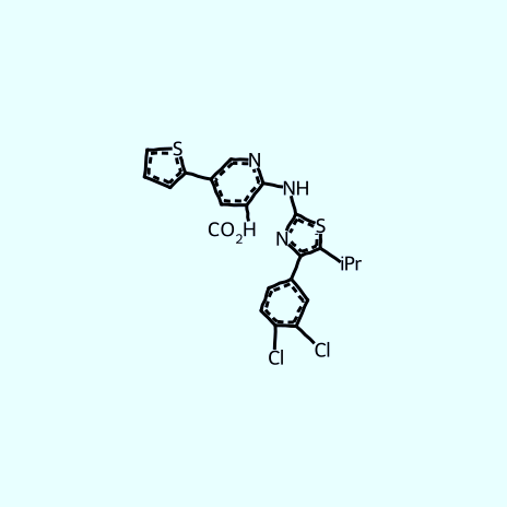 CC(C)c1sc(Nc2ncc(-c3cccs3)cc2C(=O)O)nc1-c1ccc(Cl)c(Cl)c1